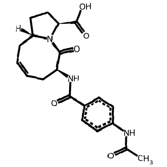 CC(=O)Nc1ccc(C(=O)N[C@H]2CC=CC[C@@H]3CC[C@@H](C(=O)O)N3C2=O)cc1